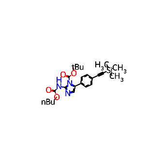 CCCCOC(=O)Nc1ncc(-c2ccc(C#C[Si](C)(C)C)cc2)n1C(=O)OC(C)(C)C